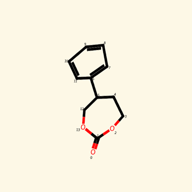 O=C1OCCC(c2ccccc2)CO1